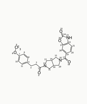 O=C(CCc1ccc(OC(F)(F)F)cc1)N1CC2CN(C(=O)c3ccc4[nH]c(=O)oc4c3)CC2C1